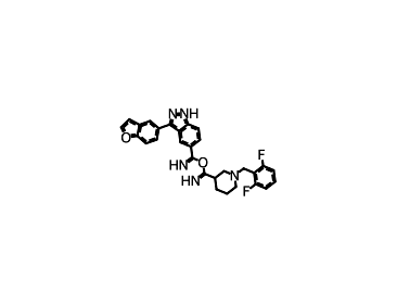 N=C(OC(=N)C1CCCN(Cc2c(F)cccc2F)C1)c1ccc2[nH]nc(-c3ccc4occc4c3)c2c1